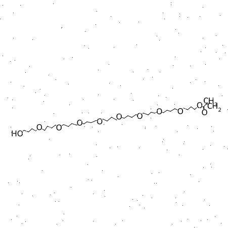 C=C(C)C(=O)OCCCCOCCCCOCCCCOCCCCOCCCCOCCCCOCCCCOCCCCOCCCCO